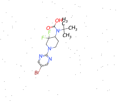 CC(C)(C)N(C(=O)O)C1CCN(c2ncc(Br)cn2)CC1(F)F